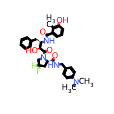 Cc1c(O)cccc1C(=O)N[C@@H](Cc1ccccc1)[C@H](O)C(=O)N1CC(F)(F)C[C@H]1C(=O)NCc1ccc(N(C)C)cc1